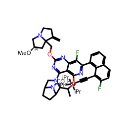 C=C1CCN2C[C@H](OC)CC12COc1nc2c3c(nc(-c4cccc5ccc(F)c(C#C[Si](C(C)C)(C(C)C)C(C)C)c45)c(F)c3n1)OC(C)C1C3CCC(CN21)N3C(=O)O